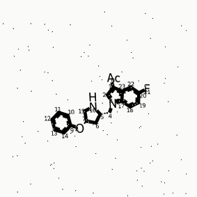 CC(=O)c1cn(C[C@@H]2C[C@H](Oc3ccccc3)CN2)c2ccc(F)cc12